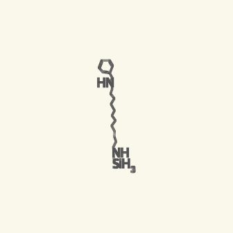 [SiH3]CNCCCCCCCCCCCCNCc1ccccc1